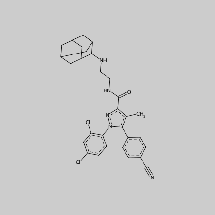 Cc1c(C(=O)NCCNC2C3CC4CC(C3)CC2C4)nn(-c2ccc(Cl)cc2Cl)c1-c1ccc(C#N)cc1